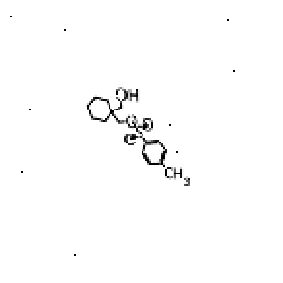 Cc1ccc(S(=O)(=O)OCC2(CO)CCCCC2)cc1